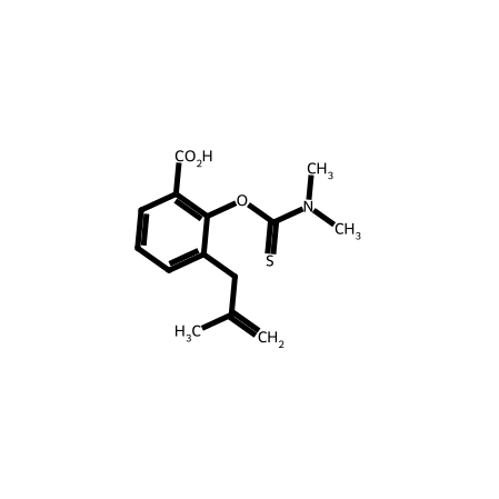 C=C(C)Cc1cccc(C(=O)O)c1OC(=S)N(C)C